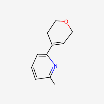 Cc1cccc(C2=CCOCC2)n1